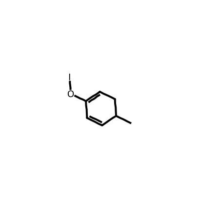 CC1C=CC(OI)=CC1